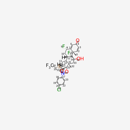 C[C@]12C=CC(=O)C=C1[C@@H](F)C[C@H]1C3C[C@H]4CN(c5ccc(Cl)cc5)O[C@@]4(C(=O)SCC(F)(F)F)[C@@]3(C)C[C@H](O)[C@@]12F